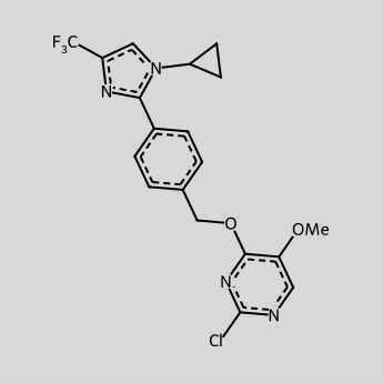 COc1cnc(Cl)nc1OCc1ccc(-c2nc(C(F)(F)F)cn2C2CC2)cc1